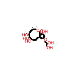 C[C@@H]1/C=C\[C@H](O)[C@@H](O)[C@@H](O)C/C=C/c2cc(OCC(O)CO)cc(O)c2C(=O)O[C@H]1C